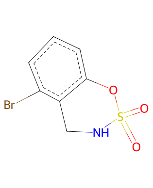 O=S1(=O)NCc2c(Br)cccc2O1